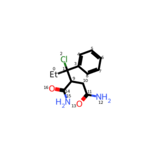 CCC(Cl)(c1ccccc1)C(CC(N)=O)C(N)=O